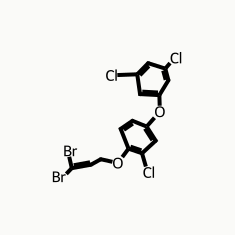 Clc1cc(Cl)cc(Oc2ccc(OCC=C(Br)Br)c(Cl)c2)c1